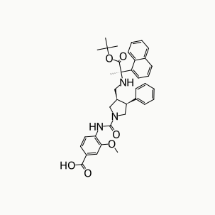 COc1cc(C(=O)O)ccc1NC(=O)N1C[C@@H](CN[C@@](C)(C(=O)OC(C)(C)C)c2cccc3ccccc23)[C@@H](c2ccccc2)C1